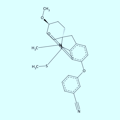 CO[C@H]1CC[C@]2(CC1)Cc1ccc(Oc3cccc(C#N)c3)cc1C21N=C(SC)N(C)C1=O